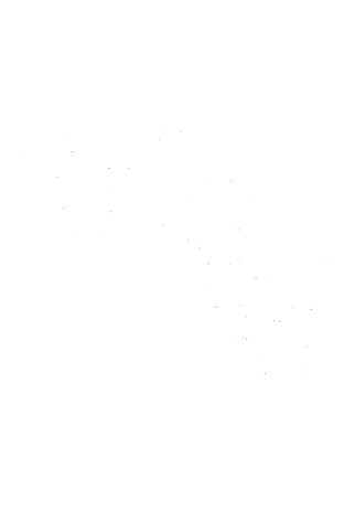 CC1C(c2cc3ccccc3c3ccccc23)=CC(C#N)=CC1c1ccc(-c2ccc(-c3nc4ccccc4n3-c3ccccc3)cc2)c2ccccc12